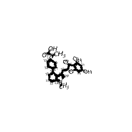 CN(C(=O)O)c1ccc(-c2cccc3c2c(C=C2Oc4cc(O)cc(O)c4C2=O)cn3C)cc1